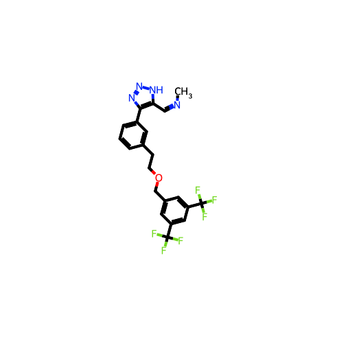 C/N=C\c1[nH]nnc1-c1cccc(CCOCc2cc(C(F)(F)F)cc(C(F)(F)F)c2)c1